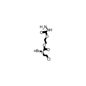 CCCCN(CCCl)C(=O)OCCOC(=O)NN